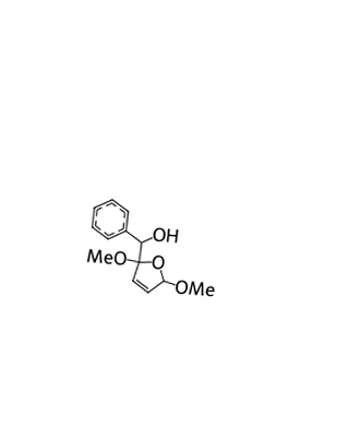 COC1C=CC(OC)(C(O)c2ccccc2)O1